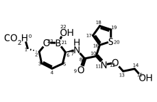 O=C(O)C[C@H]1C=CC[C@H](NC(=O)/C(=N/OCCO)c2cccs2)B(O)O1